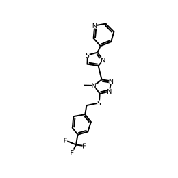 Cn1c(SCc2ccc(C(F)(F)F)cc2)nnc1-c1csc(-c2cccnc2)n1